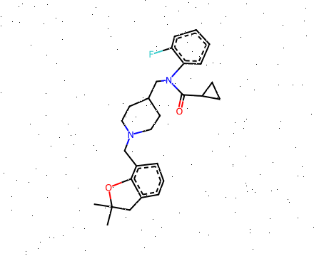 CC1(C)Cc2cccc(CN3CCC(CN(C(=O)C4CC4)c4ccccc4F)CC3)c2O1